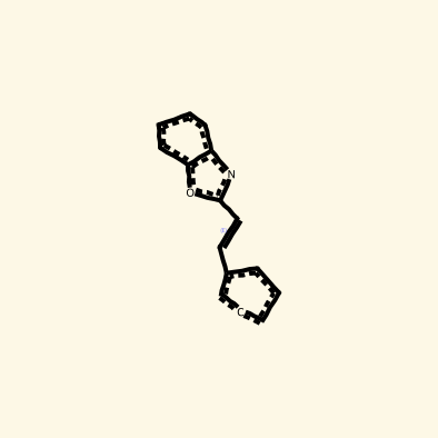 C(=C\c1nc2ccccc2o1)/c1ccccc1